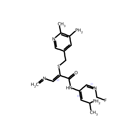 C=N/C=C(\SCc1cnc(C)c(P)c1)C(=O)NC(/C=N\CF)=C/C(C)P